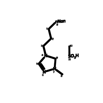 CCCCCCCCCCCCN1C=NN(C)C1.CS(=O)(=O)O